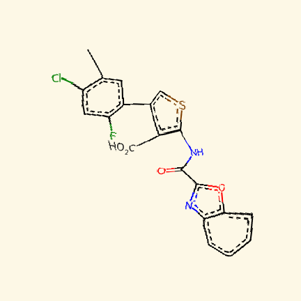 Cc1cc(-c2csc(NC(=O)c3nc4ccccc4o3)c2C(=O)O)c(F)cc1Cl